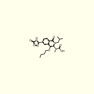 CCCCOc1c(N(C)C(=O)O)n(CC(C)C)c(=O)c2ccc(-c3noc(=O)[nH]3)cc12